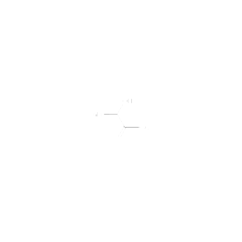 CCCC(O)C(=O)C(C)CC